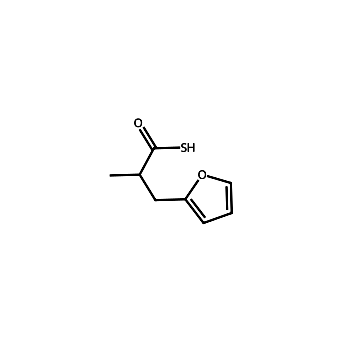 CC(Cc1ccco1)C(=O)S